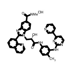 CNC(=O)c1ccc2c(c1)nc(-c1cccc3cccnc13)n2C[C@H](O)C(=O)Nc1ccc(C)c(Nc2nccc(-c3cccnc3)n2)c1.Cl